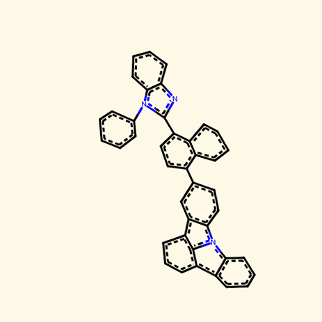 c1ccc(-n2c(-c3ccc(-c4ccc5c(c4)c4cccc6c7ccccc7n5c64)c4ccccc34)nc3ccccc32)cc1